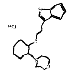 Cl.c1ccc2c(CCOC3CCCCC3N3CCOCC3)csc2c1